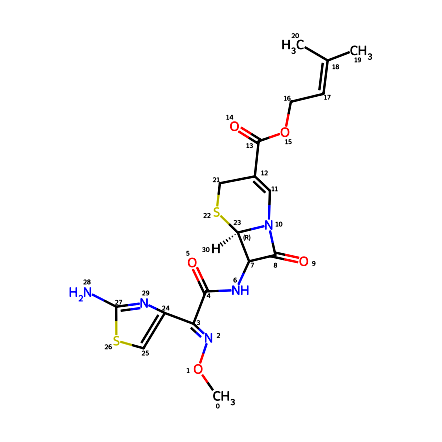 CON=C(C(=O)NC1C(=O)N2C=C(C(=O)OCC=C(C)C)CS[C@H]12)c1csc(N)n1